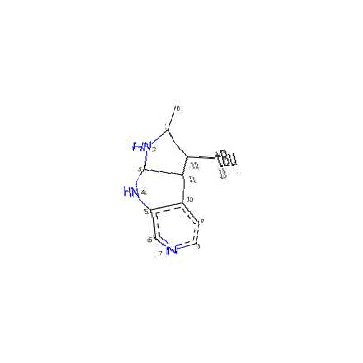 CC1NC2Nc3cnccc3C2C1C(C)(C)C